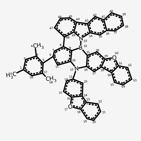 Cc1cc(C)c(-c2cc3c4c(c2)N(c2ccc5oc6ccccc6c5c2)c2cc5c(cc2B4n2c4cc6ccccc6cc4c4cccc-3c42)oc2ccccc25)c(C)c1